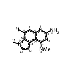 CNc1nc(N)nc2cc(I)c3c(ccn3C)c12